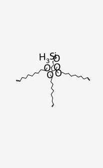 C=CCCCCCCCCO[C@@H]1O[C@H](CO[SiH3])[C@@H](OCCCCCCCCC=C)[C@H]1OCCCCCCCCC=C